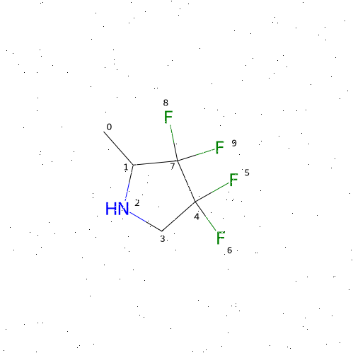 CC1NCC(F)(F)C1(F)F